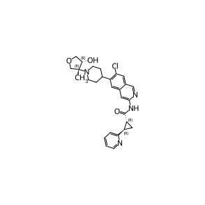 C[C@@]1(N2CCC(c3cc4cc(NC(=O)[C@@H]5C[C@H]5c5ccccn5)ncc4cc3Cl)CC2)COC[C@@H]1O